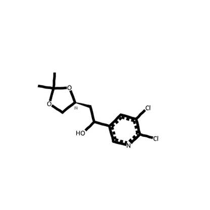 CC1(C)OC[C@H](CC(O)c2cnc(Cl)c(Cl)c2)O1